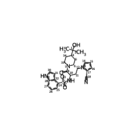 CC(C)(O)C1CCN(C(=O)C(CCn2cccc2C#N)NS(=O)(=O)c2cccc3[nH]ccc23)CC1